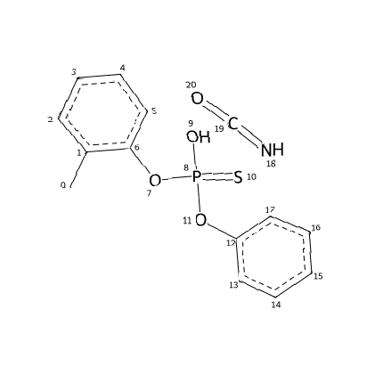 Cc1ccccc1OP(O)(=S)Oc1ccccc1.N=C=O